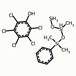 C[SiH](O[SiH3])O[Si](C)(C)c1ccccc1.Oc1c(Cl)c(Cl)c(Cl)c(Cl)c1Cl